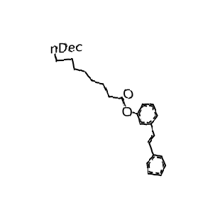 CCCCCCCCCCCCCCCCCC(=O)Oc1cccc(C=Cc2ccccc2)c1